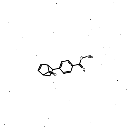 CC(C)(C)OC(=O)c1ccc(C2CC3C=CC2C3=O)cc1